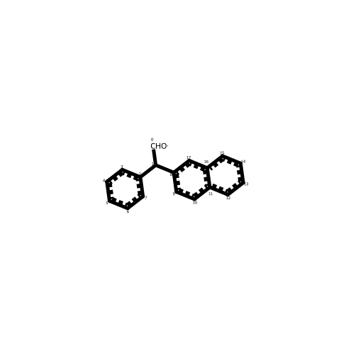 O=[C]C(c1ccccc1)c1ccc2ccccc2c1